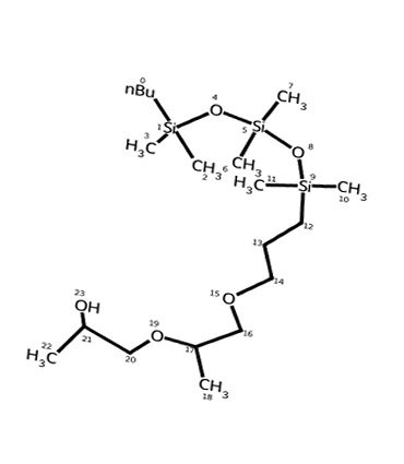 CCCC[Si](C)(C)O[Si](C)(C)O[Si](C)(C)CCCOCC(C)OCC(C)O